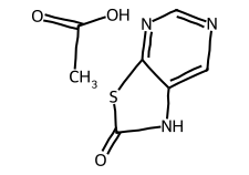 CC(=O)O.O=c1[nH]c2cncnc2s1